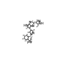 Cc1[nH]ncc1-c1cnc2[nH]cc(-c3cnn(Cc4ccccc4C(F)(F)F)c3)c2n1